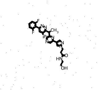 CC(C)c1cc(-c2c(F)cccc2F)nnc1C(C)c1cncc(-c2cnn(CCC(=O)NCCO)c2)n1